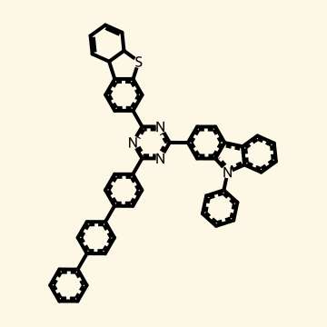 C1=CC2Sc3cc(-c4nc(-c5ccc(-c6ccc(-c7ccccc7)cc6)cc5)nc(-c5ccc6c7ccccc7n(-c7ccccc7)c6c5)n4)ccc3C2C=C1